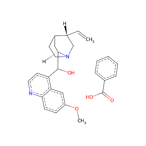 C=C[C@@H]1CN2CCC1C[C@@H]2C(O)c1ccnc2ccc(OC)cc12.O=C(O)c1ccccc1